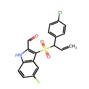 C=CC(c1ccc(Cl)cc1)S(=O)(=O)c1c(C=O)[nH]c2ccc(F)cc12